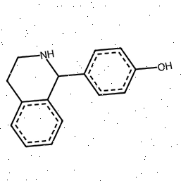 Oc1ccc(C2NCCc3ccccc32)cc1